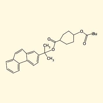 CCC(C)C(=O)OC1CCC(C(=O)OC(C)(C)c2ccc3c(ccc4ccccc43)c2)CC1